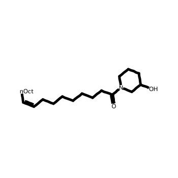 CCCCCCCC/C=C\CCCCCCCC(=O)N1CCCC(O)C1